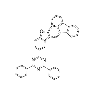 c1ccc(-c2nc(-c3ccccc3)nc(-c3ccc4oc5c6cccc7c6c(cc5c4c3)-c3ccccc3-7)n2)cc1